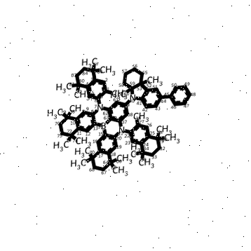 Cc1cc2c(cc1N1c3cc4c(cc3B3c5cc6c(cc5N(c5cc7c(cc5C)C(C)(C)CCC7(C)C)c5cc(N7c8ccc(-c9ccccc9)cc8C8(C)CCCCC78C)cc1c53)C(C)(C)CCC6(C)C)C(C)(C)CCC4(C)C)C(C)(C)CCC2(C)C